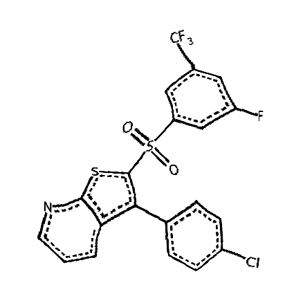 O=S(=O)(c1cc(F)cc(C(F)(F)F)c1)c1sc2ncccc2c1-c1ccc(Cl)cc1